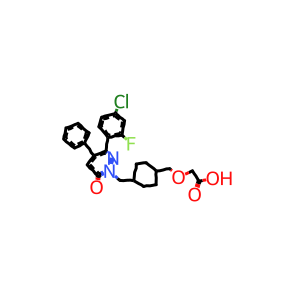 O=C(O)COCC1CCC(Cn2nc(-c3ccc(Cl)cc3F)c(-c3ccccc3)cc2=O)CC1